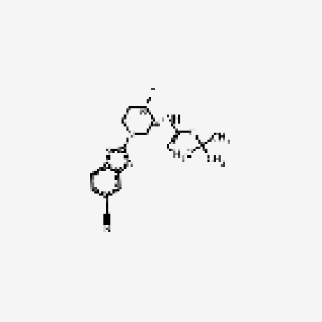 CC(C)(C)OC(=O)N[C@@H]1CN(c2nc3ccc(C#N)cc3[nH]2)CC[C@H]1F